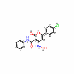 O=C(Nc1ccccc1)c1c(NO)cc(-c2ccc(Cl)cc2)oc1=O